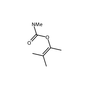 CNC(=O)OC(C)=C(C)C